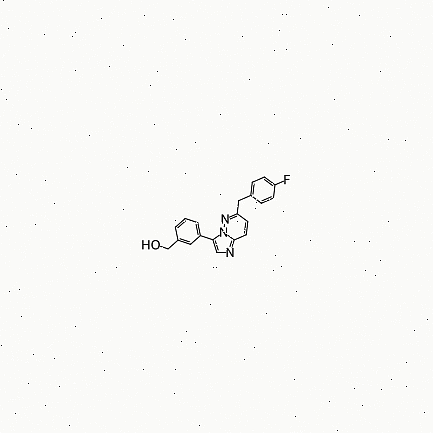 OCc1cccc(-c2cnc3ccc(Cc4ccc(F)cc4)nn23)c1